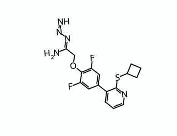 N=N/N=C(\N)COc1c(F)cc(-c2cccnc2SC2CCC2)cc1F